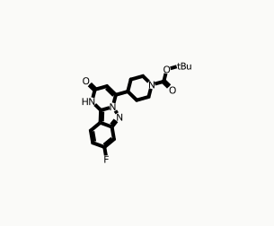 CC(C)(C)OC(=O)N1CCC(c2cc(=O)[nH]c3c4ccc(F)cc4nn23)CC1